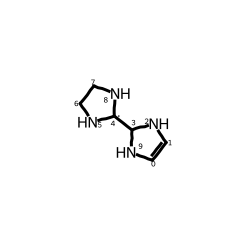 C1=CNC([C]2NCCN2)N1